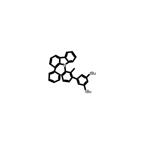 Cc1c(-c2cc(C(C)(C)C)cc(C(C)(C)C)c2)cccc1-n1c2ccccc2c2cccc(-c3ccccc3)c21